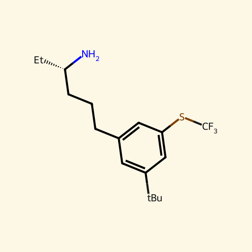 CC[C@H](N)CCCc1cc(SC(F)(F)F)cc(C(C)(C)C)c1